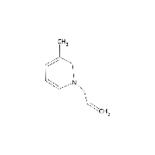 C=CCN1C=CC=C(C)C1